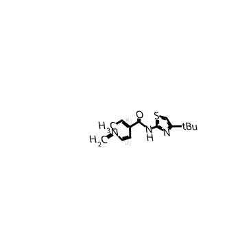 C=N/C=C\C(=C/C)C(=O)Nc1nc(C(C)(C)C)cs1